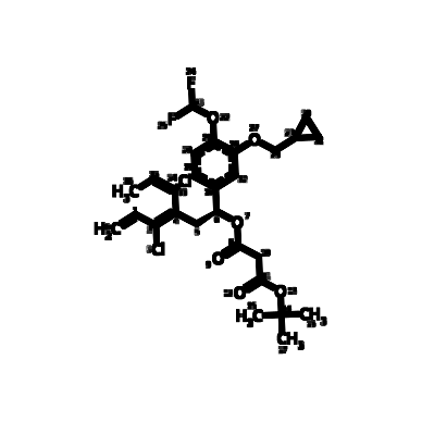 C=C/C(Cl)=C(C[C@H](OC(=O)CC(=O)OC(C)(C)C)c1ccc(OC(F)F)c(OCC2CC2)c1)\C(Cl)=C/C